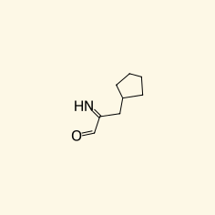 N=C(C=O)CC1CCCC1